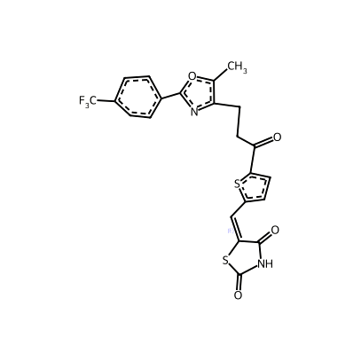 Cc1oc(-c2ccc(C(F)(F)F)cc2)nc1CCC(=O)c1ccc(/C=C2/SC(=O)NC2=O)s1